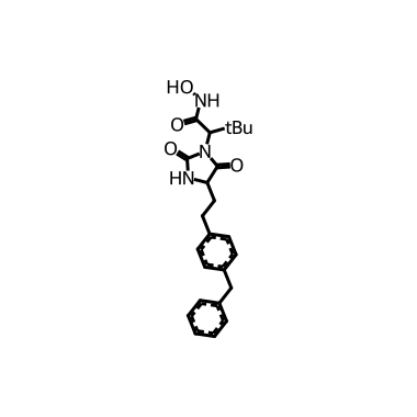 CC(C)(C)C(C(=O)NO)N1C(=O)NC(CCc2ccc(Cc3ccccc3)cc2)C1=O